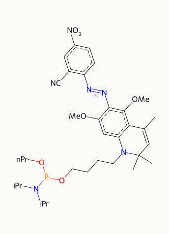 CCCOP(OCCCCN1c2cc(OC)c(/N=N/c3ccc([N+](=O)[O-])cc3C#N)c(OC)c2C(C)=CC1(C)C)N(C(C)C)C(C)C